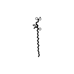 CCCCCCCCCCCCCCCCCC(=O)c1cc(CCC(=O)OC)n(C)c1C